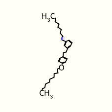 CCCCCCC/C=C/c1cccc(CCc2ccc(OCCCCCCCCCC)cc2)c1